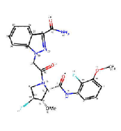 CO[C@H]1[C@@H](C(=O)Nc2cccc(OC(F)(F)F)c2F)N(C(=O)Cn2nc(C(N)=O)c3ccccc32)C[C@@H]1F